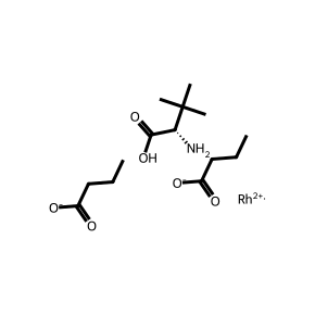 CC(C)(C)[C@H](N)C(=O)O.CCCC(=O)[O-].CCCC(=O)[O-].[Rh+2]